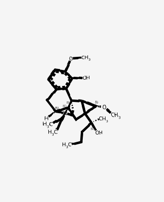 CCC[C@](C)(O)C12C[C@]3(CC)[C@H]4Cc5ccc(OC)c(O)c5[C@@]3(CCN4C)C1[C@@H]2OC